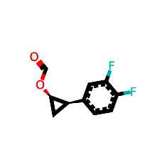 O=CO[C@@H]1C[C@@H]1c1ccc(F)c(F)c1